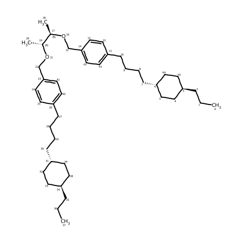 CCC[C@H]1CC[C@H](CCCCc2ccc(CO[C@H](C)[C@@H](C)OCc3ccc(CCCC[C@H]4CC[C@H](CCC)CC4)cc3)cc2)CC1